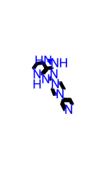 c1cc(N2CCN(c3nc4c5c(n3)NNC5CCN4)CC2)ccn1